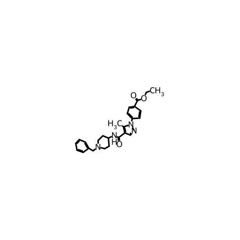 CCOC(=O)c1ccc(-n2ncc(C(=O)NC3CCN(Cc4ccccc4)CC3)c2C)cc1